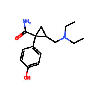 CCN(CC)CC1CC1(C(N)=O)c1ccc(O)cc1